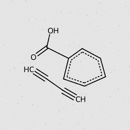 C#CC#C.O=C(O)c1ccccc1